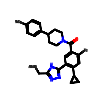 CCc1cc(C2CC2)c(-c2nnc(COC)[nH]2)cc1C(=O)N1CCC(c2ccc(C#N)cc2)CC1